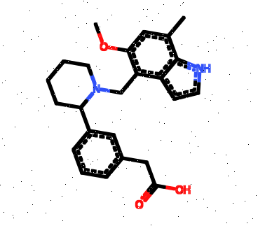 COc1cc(C)c2[nH]ccc2c1CN1CCCCC1c1cccc(CC(=O)O)c1